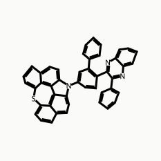 c1ccc(-c2cc(-n3c4ccc5cccc6sc7cccc8ccc3c(c87)c4c56)ccc2-c2nc3ccccc3nc2-c2ccccc2)cc1